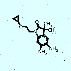 CC1(C)C(=O)N(CCOC2CC2)c2cc(N)c(N)cc21